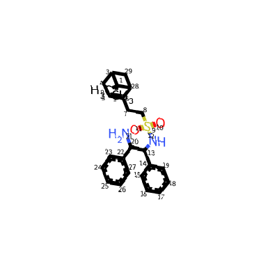 CC1(C)C2CC=C(CCS(=O)(=O)NC(c3ccccc3)C(N)c3ccccc3)C1C2